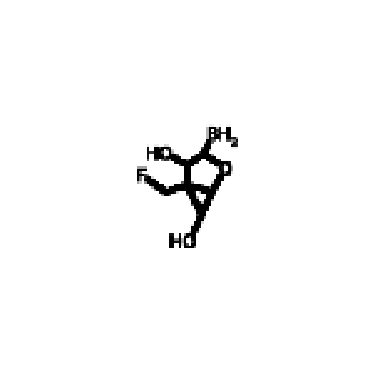 BC1OC2C(O)C2(CF)C1O